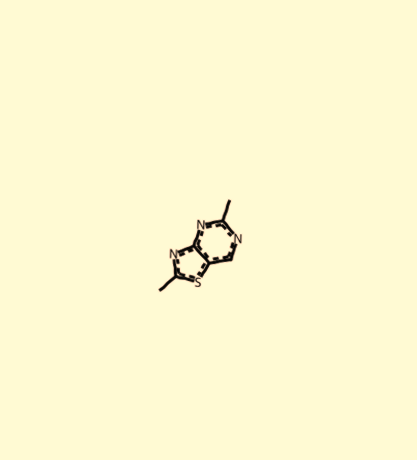 Cc1ncc2sc(C)nc2n1